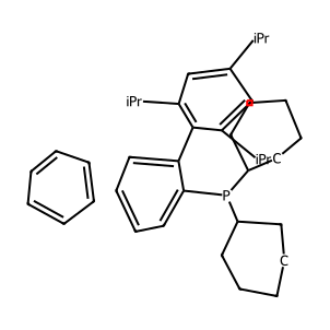 CC(C)c1cc(C(C)C)c(-c2ccccc2P(C2CCCCC2)C2CCCCC2)c(C(C)C)c1.c1ccccc1